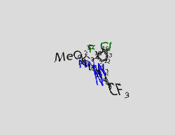 COc1cc(-c2c(-n3cc(C(F)(F)F)nn3)ccc(Cl)c2F)ncn1